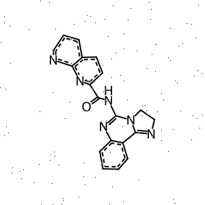 O=C(NC1=Nc2ccccc2C2=NCCN12)c1ccc2cccnc2n1